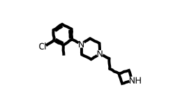 Cc1c(Cl)cccc1N1CCN(CCC2CNC2)CC1